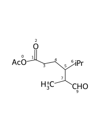 CC(=O)OC(=O)CCC(C(C)C)C(C)C=O